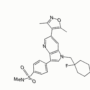 CNS(=O)(=O)c1ccc(-c2cn(CC3(F)CCCCC3)c3cc(-c4c(C)noc4C)cnc23)cc1